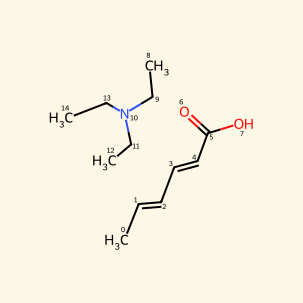 CC=CC=CC(=O)O.CCN(CC)CC